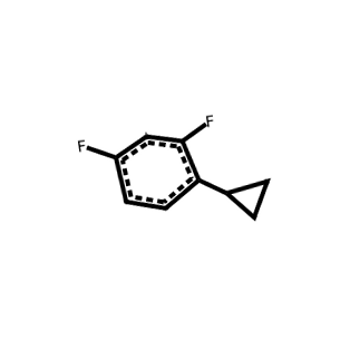 Fc1[c]c(F)c(C2CC2)cc1